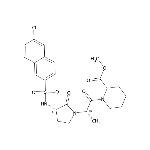 COC(=O)C1CCCCN1C(=O)[C@H](C)N1CC[C@H](NS(=O)(=O)c2ccc3cc(Cl)ccc3c2)C1=O